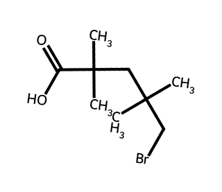 CC(C)(CBr)CC(C)(C)C(=O)O